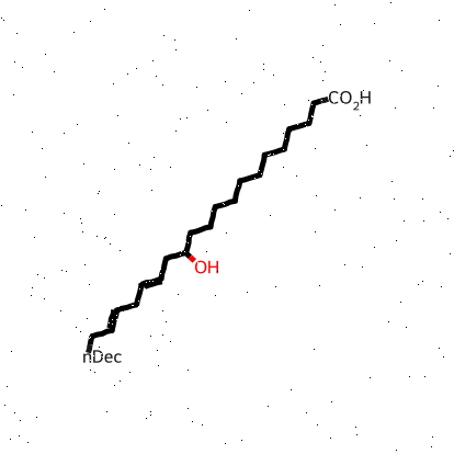 CCCCCCCCCCCC=CCC=CCC(O)CCCCCCCCCCCC(=O)O